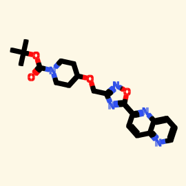 CC(C)(C)OC(=O)N1CCC(OCc2noc(-c3ccc4ncccc4n3)n2)CC1